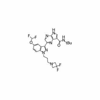 CC(C)(C)NC(=O)c1c[nH]c2ncc(-c3nn(CCCN4CC(F)(F)C4)c4ccc(OC(F)F)cc34)nc12